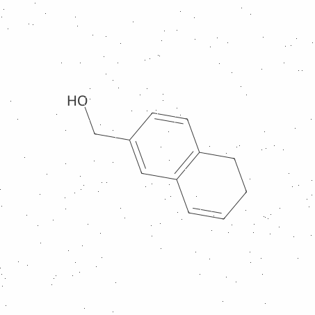 OCc1ccc2c(c1)C=CCC2